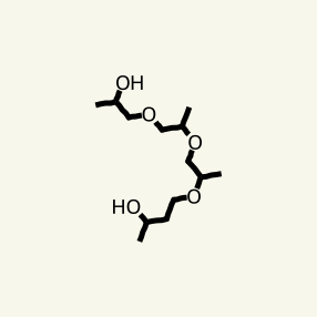 CC(O)CCOC(C)COC(C)COCC(C)O